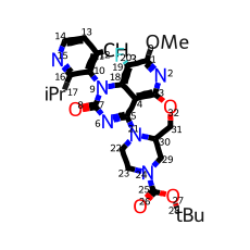 COc1nc2c3c(nc(=O)n(-c4c(C)ccnc4C(C)C)c3c1F)N1CCN(C(=O)OC(C)(C)C)CC1CO2